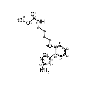 CC(C)(C)OC(=O)NCCCCOc1ccccc1-c1cc(N)no1